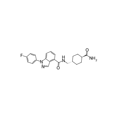 NC(=O)[C@H]1CC[C@H](CNC(=O)c2cccc3c2cnn3-c2ccc(F)cc2)CC1